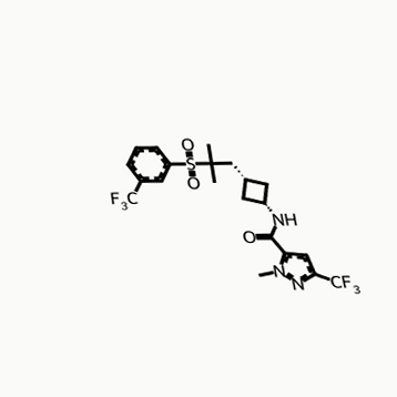 Cn1nc(C(F)(F)F)cc1C(=O)N[C@H]1C[C@@H](CC(C)(C)S(=O)(=O)c2cccc(C(F)(F)F)c2)C1